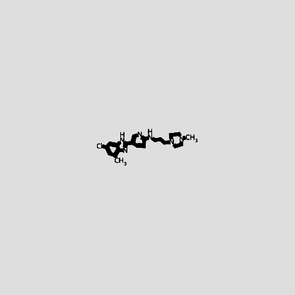 Cc1cc(Cl)cc2[nH]c(-c3ccc(NCCCN4CCN(C)CC4)nc3)nc12